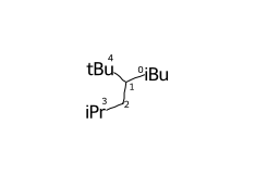 CCC(C)C(CC(C)C)C(C)(C)C